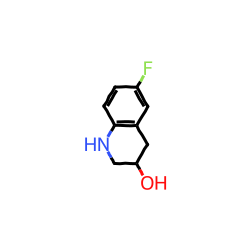 OC1CNc2ccc(F)cc2C1